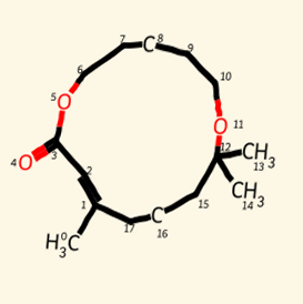 C/C1=C\C(=O)OCCCCCOC(C)(C)CCC1